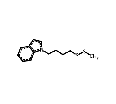 CSSCCCCn1ccc2ccccc21